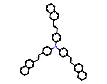 C(=C\c1ccc2ccccc2c1)/c1ccc(N(c2ccc(/C=C/c3ccc4ccccc4c3)cc2)c2ccc(/C=C/c3ccc4ccccc4c3)cc2)cc1